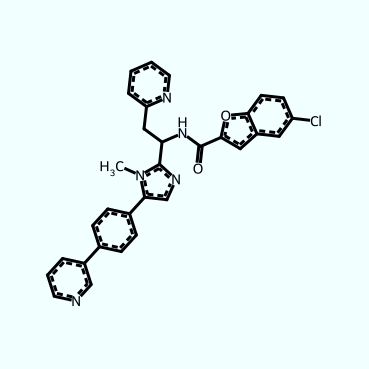 Cn1c(-c2ccc(-c3cccnc3)cc2)cnc1C(Cc1ccccn1)NC(=O)c1cc2cc(Cl)ccc2o1